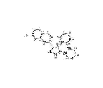 Ic1ccc2ccc(-c3nnc4c5ccccc5c5ccccc5n34)cc2c1